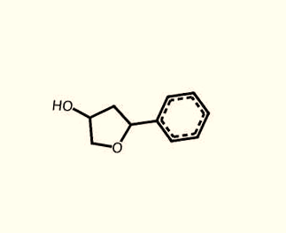 OC1COC(c2ccccc2)C1